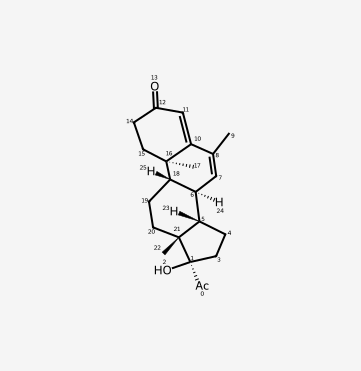 CC(=O)[C@@]1(O)CC[C@H]2[C@@H]3C=C(C)C4=CC(=O)CC[C@]4(C)[C@H]3CC[C@]21C